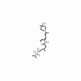 C=C/C(=C\C=C(/C)N1CCC(C)(O)CC1)NC(=O)CC(C)CCNS(=O)(=O)C(C)C